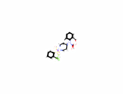 Cc1cccc2c1N(C1CCN(S(=O)(=O)c3ccccc3C(F)(F)F)CC1)C(=O)OC2